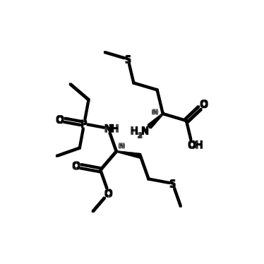 CCP(=O)(CC)N[C@@H](CCSC)C(=O)OC.CSCC[C@H](N)C(=O)O